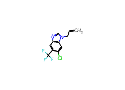 C=CCn1cnc2cc(C(F)(F)F)c(Cl)cc21